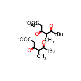 CC(C(=O)CC(=O)[O-])C(=O)C(C)(C)C.CC(C(=O)CC(=O)[O-])C(=O)C(C)(C)C.[Al+2]